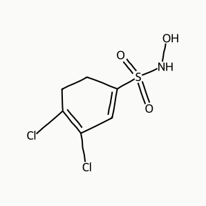 O=S(=O)(NO)C1=CC(Cl)=C(Cl)CC1